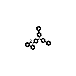 O=c1c2ccccc2c2ccccc2n1-c1ccc(N(c2ccc(-c3ccccc3)cc2)C2C=CC(c3ccccc3)=CC2)cc1